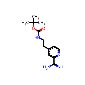 CC(C)(C)OC(=O)NCCc1ccnc(C(=N)N)c1